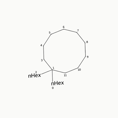 CCCCCCC1(CCCCCC)CCCCCCCCC1